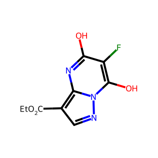 CCOC(=O)c1cnn2c(O)c(F)c(O)nc12